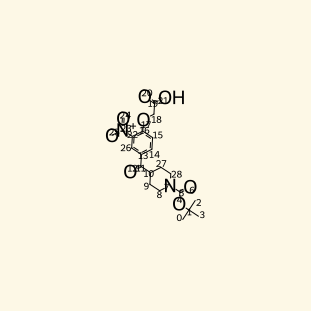 CC(C)(C)OC(=O)N1CCC(C(=O)c2ccc(OCC(=O)O)c([N+](=O)[O-])c2)CC1